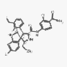 CC(C)(C)C[C@@H]1N[C@@H](C(=O)Nc2ccc(C(N)=O)c(Cl)c2)[C@H](c2cccc(CI)c2F)[C@]12C(=O)Nc1cc(Cl)ccc12